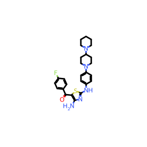 Nc1nc(Nc2ccc(N3CCC(N4CCCCC4)CC3)cc2)sc1C(=O)c1ccc(F)cc1